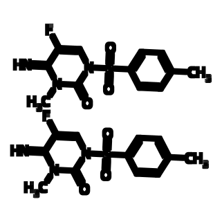 Cc1ccc(S(=O)(=O)n2cc(F)c(=N)n(C)c2=O)cc1.Cc1ccc(S(=O)(=O)n2cc(F)c(=N)n(C)c2=O)cc1